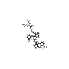 Br.COCCN(CCOC)C(=O)CCCC#Cc1cccc2nc(Cn3nc(-c4cccc(O)c4)c4c(N)ncnc43)n(Cc3ccccc3Cl)c(=O)c12